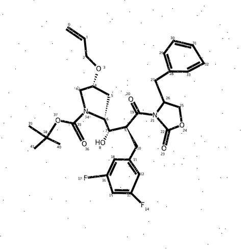 C=CCO[C@@H]1C[C@H]([C@@H](O)[C@H](Cc2cc(F)cc(F)c2)C(=O)N2C(=O)OCC2Cc2ccccc2)N(C(=O)OC(C)(C)C)C1